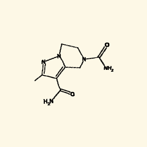 Cc1nn2c(c1C(N)=O)CN(C(N)=O)CC2